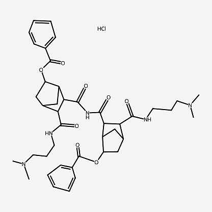 CN(C)CCCNC(=O)C1C2CC(OC(=O)c3ccccc3)C(C2)C1C(=O)NC(=O)C1C2CC(CC2OC(=O)c2ccccc2)C1C(=O)NCCCN(C)C.Cl